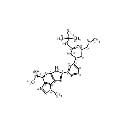 BN(C)c1nc2[nH]c(-c3cccc([C@H](CCCOC)NC(=O)OC(C)(C)C)n3)cc2c2c1ncn2C